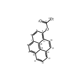 CCC(=O)Oc1ccc2ccc3cccc4ccc1c2c34